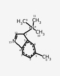 Cc1ccc2c(c1)C([N+](C)(C)C)C=N2